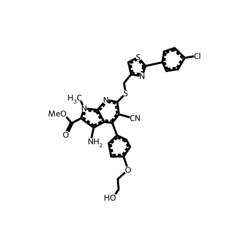 COC(=O)c1c(N)c2c(-c3ccc(OCCO)cc3)c(C#N)c(SCc3csc(-c4ccc(Cl)cc4)n3)nc2n1C